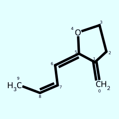 C=C1CCO/C1=C/C=C\C